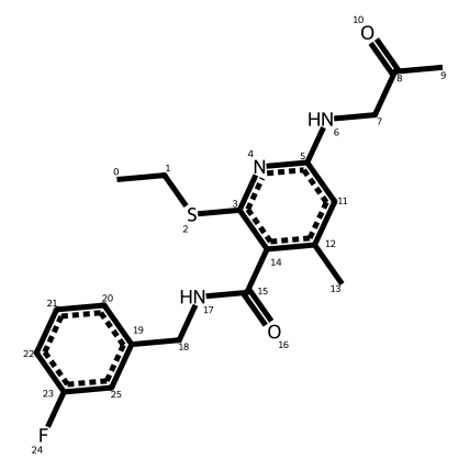 CCSc1nc(NCC(C)=O)cc(C)c1C(=O)NCc1cccc(F)c1